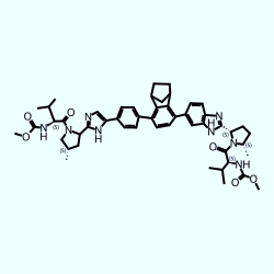 COC(=O)N[C@H](C(=O)N1C[C@@H](C)CC1c1ncc(-c2ccc(-c3ccc(-c4ccc5nc([C@@H]6CC[C@H](C)N6C(=O)[C@@H](NC(=O)OC)C(C)C)[nH]c5c4)c4c3C3CCC4C3)cc2)[nH]1)C(C)C